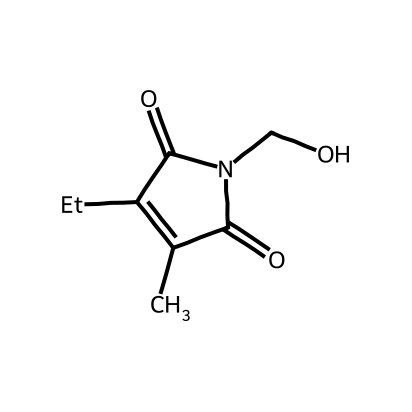 CCC1=C(C)C(=O)N(CO)C1=O